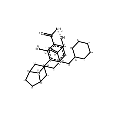 NC(=O)c1cccc(C2CC3CCC(C2)N3CCN(CC2CCCCC2)C(=O)CO)c1O